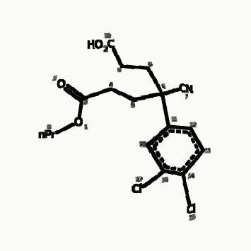 CCCOC(=O)CCC(C#N)(CCC(=O)O)c1ccc(Cl)c(Cl)c1